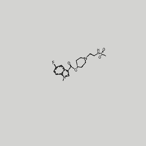 Cn1cc(C(=O)OC2CCN(CCNS(C)(=O)=O)CC2)c2cc(F)ccc21